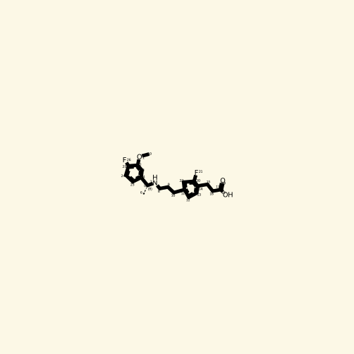 COc1cc([C@@H](C)NCCCc2ccc(CCC(=O)O)c(F)c2)ccc1F